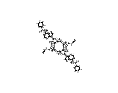 N#CCCOP1(=O)N[C@H]2[C@@H](F)[C@H](n3cnc4c(NC(=O)c5ccccc5)ncnc43)O[C@@H]2COP(=O)(OCCC#N)N[C@H]2[C@@H](F)[C@H](n3cnc4c(NC(=O)c5ccccc5)ncnc43)O[C@@H]2CO1